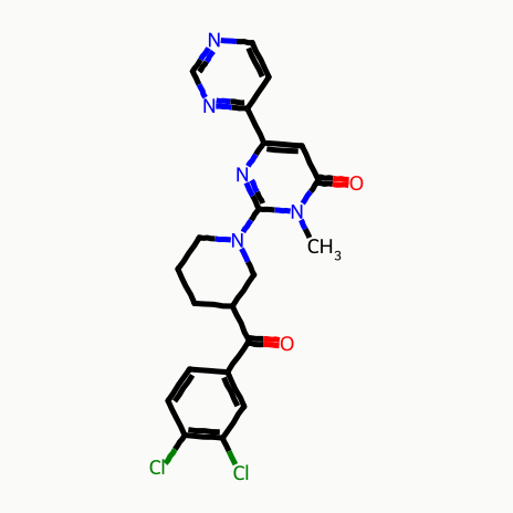 Cn1c(N2CCCC(C(=O)c3ccc(Cl)c(Cl)c3)C2)nc(-c2ccncn2)cc1=O